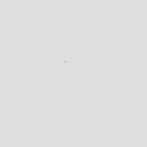 O=P(O)(O)OP(=O)(OC(C(CO)OCCOCCOCCOCCOCCO)(C(CO)OCCOCCOCCOCCOCCO)C(OCCOCCOCCOP(O)(O)=S)C(CO)OCCOCCO)OP(=O)(O)O